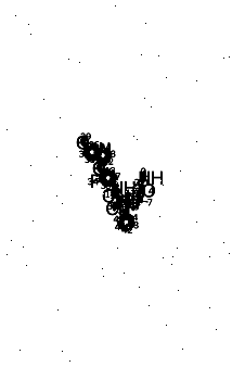 CNCC(=O)O[C@H](C)Cn1c(C)c(C(=O)Nc2ccc(Oc3ccnc4cc(OC)ccc34)c(F)c2)c(=O)n1-c1ccccc1